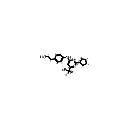 OCCc1ccc(Nc2cc(C(F)(F)F)nc(C3CCCC3)n2)cc1